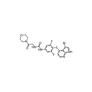 O=C(NCC(=O)N1CCOCC1)Nc1cc(F)c(Sc2ccnc3[nH]cc(Br)c23)c(F)c1